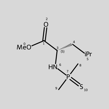 COC(=O)[C@H](CC(C)C)NP(C)(C)=S